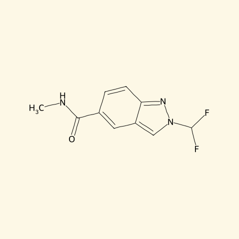 CNC(=O)c1ccc2nn(C(F)F)cc2c1